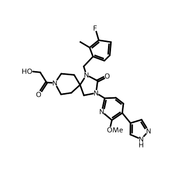 COc1nc(N2CC3(CCN(C(=O)CO)CC3)N(Cc3cccc(F)c3C)C2=O)ccc1-c1cn[nH]c1